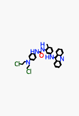 Cc1ccc(Nc2c3ccccc3nc3ccccc23)cc1NC(=O)Nc1ccc(N(CCCl)CCCl)cc1